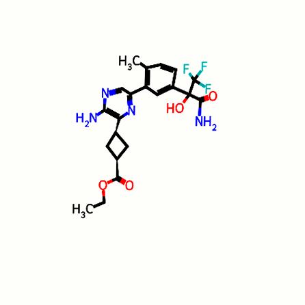 CCOC(=O)[C@H]1C[C@@H](c2nc(-c3cc(C(O)(C(N)=O)C(F)(F)F)ccc3C)cnc2N)C1